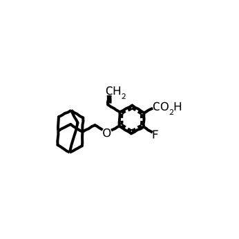 C=Cc1cc(C(=O)O)c(F)cc1OCC12CC3CC(CC(C3)C1)C2